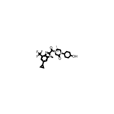 C[C@@H]1CN(C2CCC(O)CC2)C(=O)CN1C(=O)c1nc2c(C(F)(F)F)cc(C3CC3)cc2n1C